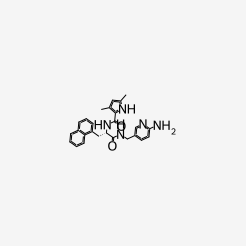 Cc1cc(C)c(C(=O)N[C@@H](Cc2cccc3ccccc23)C(=O)NCc2ccc(N)nc2)[nH]1